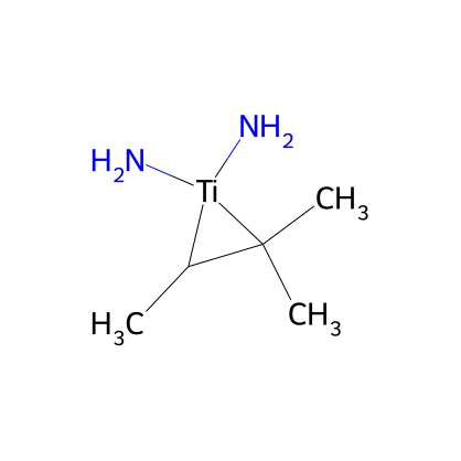 C[CH]1[C](C)(C)[Ti]1([NH2])[NH2]